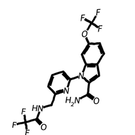 NC(=O)c1cc2ccc(OC(F)(F)F)cc2n1-c1cccc(CNC(=O)C(F)(F)F)n1